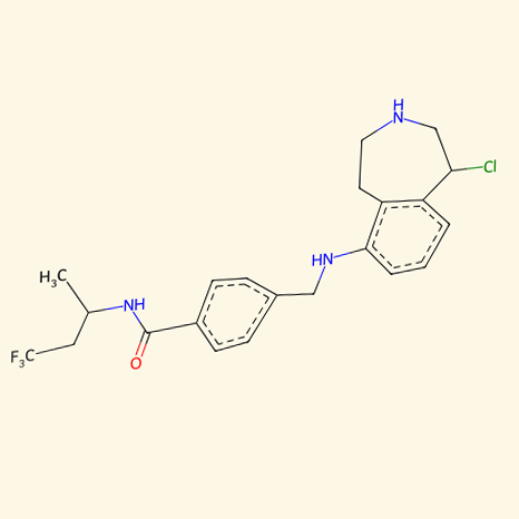 CC(CC(F)(F)F)NC(=O)c1ccc(CNc2cccc3c2CCNCC3Cl)cc1